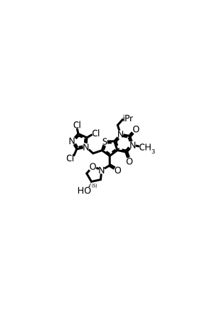 CC(C)Cn1c(=O)n(C)c(=O)c2c(C(=O)N3C[C@H](O)CO3)c(Cn3c(Cl)nc(Cl)c3Cl)sc21